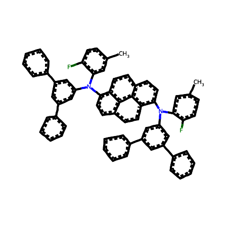 Cc1ccc(F)c(N(c2cc(-c3ccccc3)cc(-c3ccccc3)c2)c2ccc3ccc4c(N(c5cc(-c6ccccc6)cc(-c6ccccc6)c5)c5cc(C)ccc5F)ccc5ccc2c3c54)c1